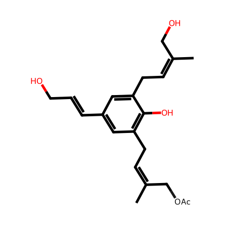 CC(=O)OC/C(C)=C\Cc1cc(/C=C/CO)cc(C/C=C(/C)CO)c1O